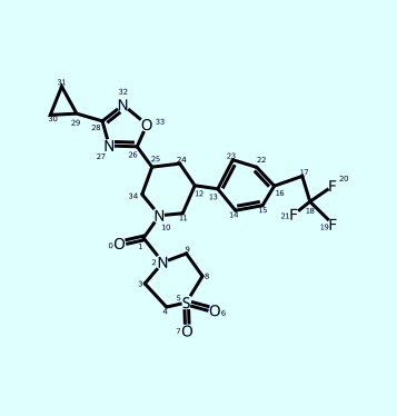 O=C(N1CCS(=O)(=O)CC1)N1CC(c2ccc(CC(F)(F)F)cc2)CC(c2nc(C3CC3)no2)C1